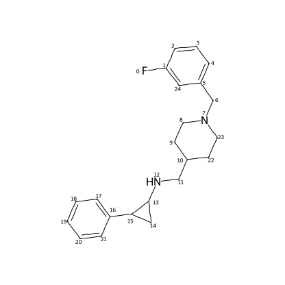 Fc1cccc(CN2CCC(CNC3CC3c3ccccc3)CC2)c1